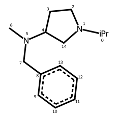 CC(C)N1CCC(N(C)Cc2ccccc2)C1